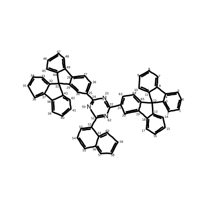 c1ccc2c(c1)-c1ccccc1C21c2ccccc2-c2cc(-c3nc(-c4ccc5c(c4)C4(c6ccccc6-c6ccccc64)c4ccccc4-5)nc(-c4cccc5ccccc45)n3)ccc21